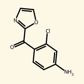 Nc1ccc(C(=O)c2ncco2)c(Cl)c1